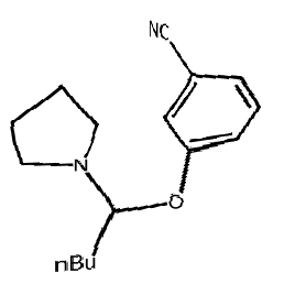 CCCCC(Oc1cccc(C#N)c1)N1CCCC1